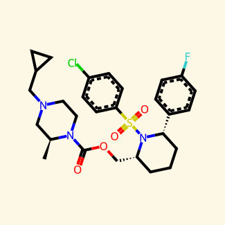 C[C@H]1CN(CC2CC2)CCN1C(=O)OC[C@H]1CCC[C@@H](c2ccc(F)cc2)N1S(=O)(=O)c1ccc(Cl)cc1